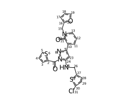 O=C(c1cccs1)n1nc(-c2cccn(Cc3ccco3)c2=O)cc1NCc1ccc(Cl)s1